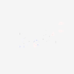 Cc1cc(-c2nc(-c3cc(C)c(OC[C@@H](O)CO)c(Cl)c3)no2)nc(NC(C)C)n1